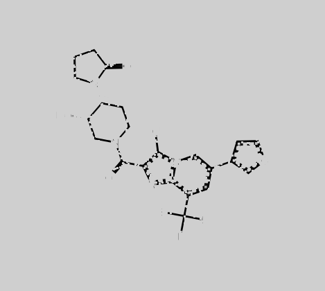 O=C(c1nc2c(C(F)(F)F)cc(-c3ccoc3)cn2c1Cl)N1CC[C@@H](N2CCCC2=O)[C@@H](O)C1